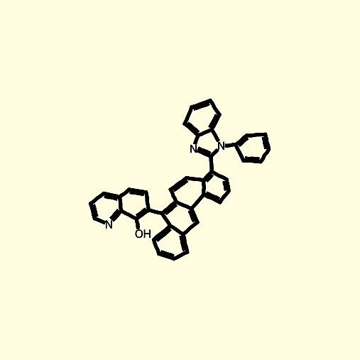 Oc1c(-c2c3ccccc3cc3c2ccc2c(-c4nc5ccccc5n4-c4ccccc4)cccc23)ccc2cccnc12